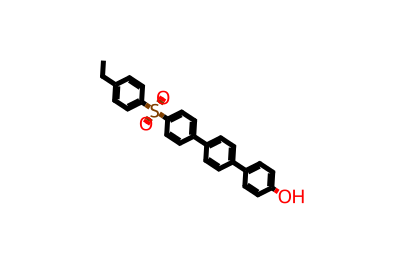 CCc1ccc(S(=O)(=O)c2ccc(-c3ccc(-c4ccc(O)cc4)cc3)cc2)cc1